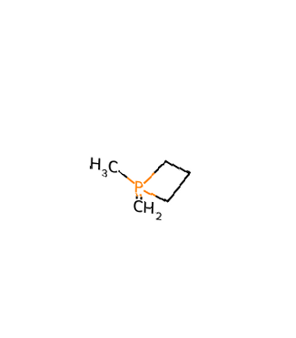 C=P1(C)CCC1